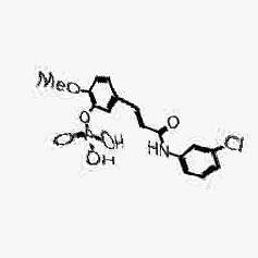 COc1ccc(C=CC(=O)Nc2cccc(Cl)c2)cc1OP(=O)(O)O